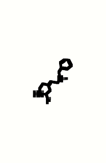 CN(CC=C1CCNC(F)C1)Cc1ccccc1